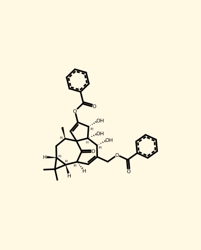 C[C@@H]1C[C@@H]2[C@H]([C@@H]3C=C(COC(=O)c4ccccc4)[C@@H](O)[C@]4(O)[C@@H](O)C(OC(=O)c5ccccc5)=CC14C3=O)C2(C)C